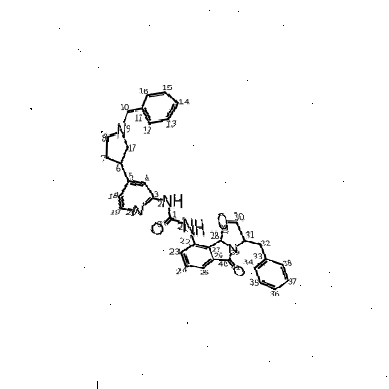 O=C(Nc1cc(C2CCN(Cc3ccccc3)C2)ccn1)Nc1cccc2c1C1OCC(Cc3ccccc3)N1C2=O